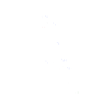 O=C(Nc1ccc(Cl)cc1)N[C@@H](CC(=O)N1CCC(N2Cc3ccccc3NC2=O)CC1)C(=O)N1CCC(C2CCCCC2)CC1